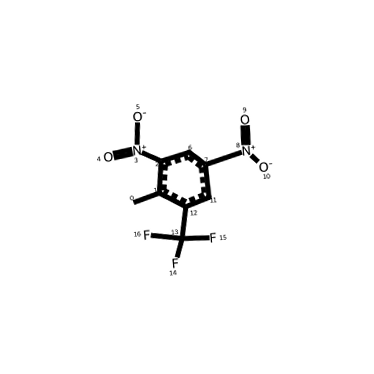 Cc1c([N+](=O)[O-])cc([N+](=O)[O-])cc1C(F)(F)F